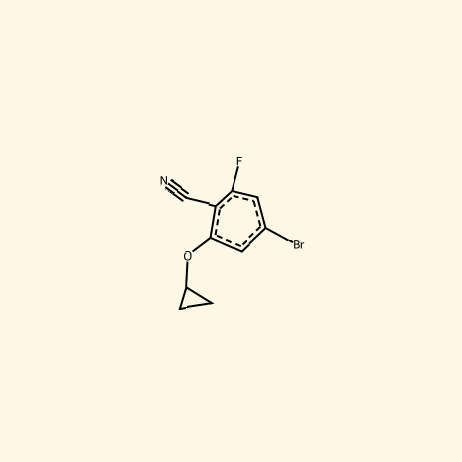 N#Cc1c(F)cc(Br)cc1OC1CC1